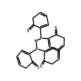 S=C1CC=CC=C1P([N]P(C1=CC=CCC1=S)C1=CC=CCC1=S)C1=CC=CCC1=S